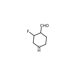 O=CC1CCNCC1F